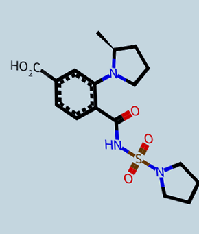 C[C@H]1CCCN1c1cc(C(=O)O)ccc1C(=O)NS(=O)(=O)N1CCCC1